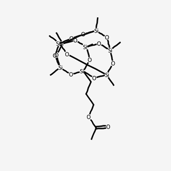 CC(=O)OCCC[Si]12O[Si]3(C)O[Si]4(C)O[Si]5(C)O[Si](C)(O3)O[Si](C)(O[Si](C)(O5)O[Si](C)(O4)O1)O2